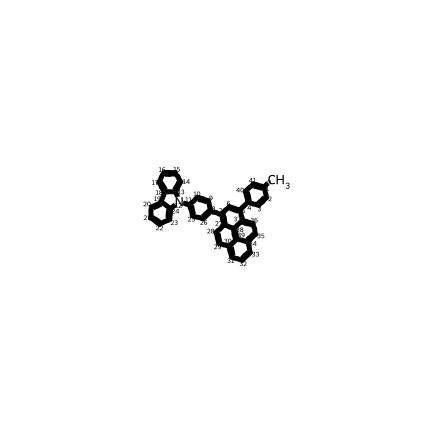 Cc1ccc(-c2cc(-c3ccc(-n4c5ccccc5c5ccccc54)cc3)c3ccc4cccc5ccc2c3c54)cc1